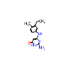 CCc1cc(Nc2cc(=O)[nH]c(N)n2)ccc1C